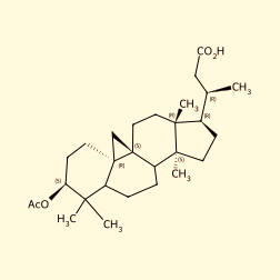 CC(=O)O[C@H]1CC[C@]23C[C@]24CC[C@]2(C)[C@@H]([C@H](C)CC(=O)O)CC[C@@]2(C)C4CCC3C1(C)C